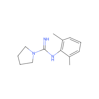 Cc1cccc(C)c1NC(=N)N1CCCC1